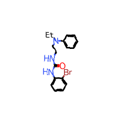 CCN(CCNC(=O)Nc1ccccc1Br)c1ccccc1